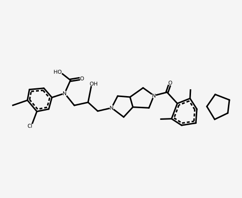 C1CCCC1.Cc1ccc(N(CC(O)CN2CC3CN(C(=O)c4c(C)cccc4C)CC3C2)C(=O)O)cc1Cl